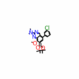 COc1c(B2OC(C)(C)C(C)(C)O2)cc(-c2cccc(Cl)c2)c2cnc(N(C)C)nc12